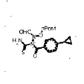 CCCCCON(C=O)N(C(=O)c1ccc(C2CC2)cc1)C(N)=S